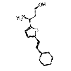 NC(CCO)c1ccc(/C=C/C2CCCCC2)o1